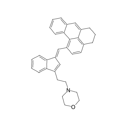 C1=C(CCN2CCOCC2)c2ccccc2/C1=C/c1ccc2c3c(cc4ccccc4c13)CCC2